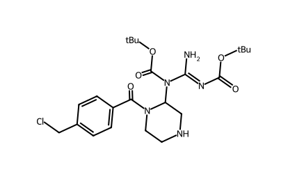 CC(C)(C)OC(=O)N=C(N)N(C(=O)OC(C)(C)C)C1CNCCN1C(=O)c1ccc(CCl)cc1